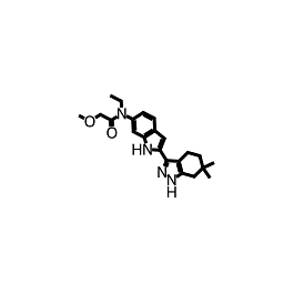 CCN(C(=O)COC)c1ccc2cc(-c3n[nH]c4c3CCC(C)(C)C4)[nH]c2c1